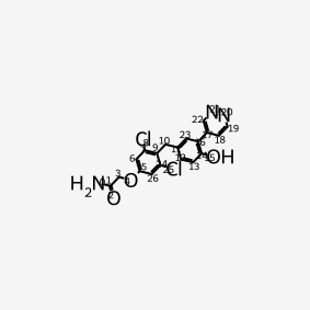 NC(=O)COc1cc(Cl)c(Cc2ccc(O)c(-c3ccnnc3)c2)c(Cl)c1